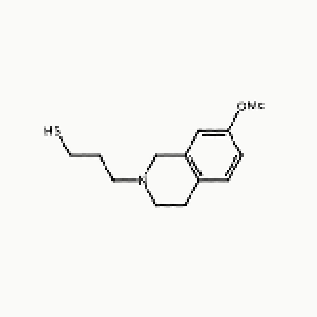 COc1ccc2c(c1)CN(CCCS)CC2